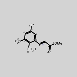 CCc1cc(/C=C/C(=O)OC)c(C(=O)O)c(C(F)(F)F)c1